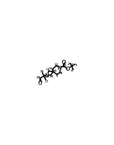 CC(C)(C)OC(=O)N1CCC2(CC1)CN(C(C)(C)C=O)C2